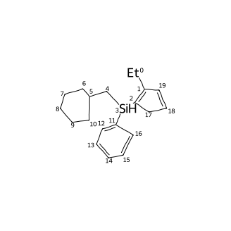 CCC1=C([SiH](CC2CCCCC2)c2ccccc2)CC=C1